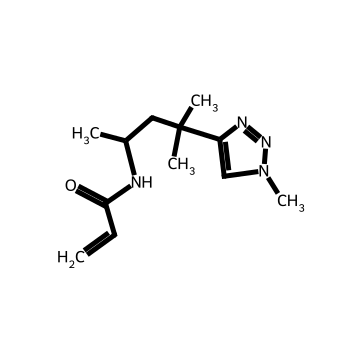 C=CC(=O)NC(C)CC(C)(C)c1cn(C)nn1